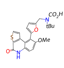 COc1ccc2[nH]c(=O)c3sccc3c2c1-c1ccc(CN(C(=O)O)C(C)(C)C)o1